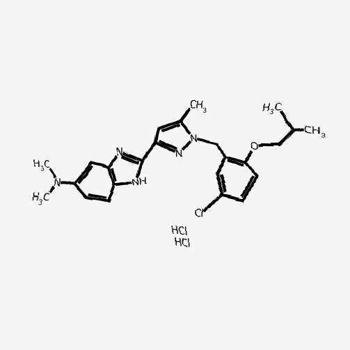 Cc1cc(-c2nc3cc(N(C)C)ccc3[nH]2)nn1Cc1cc(Cl)ccc1OCC(C)C.Cl.Cl